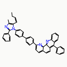 CC/C=C\c1c(C)nc(-c2ccccc2)n1-c1ccc(-c2ccc(-c3ccc4ccc5c(-c6ccccc6)c6ccccc6nc5c4n3)cc2)cc1